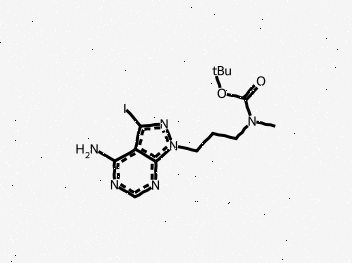 CN(CCCn1nc(I)c2c(N)ncnc21)C(=O)OC(C)(C)C